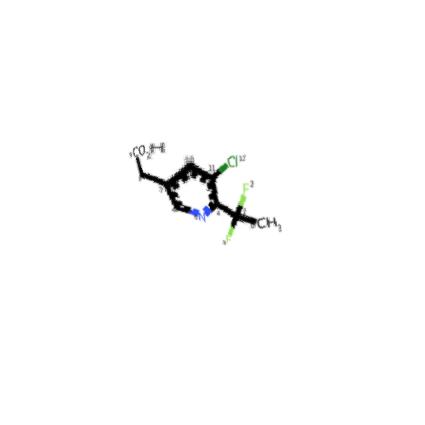 CC(F)(F)c1ncc(CC(=O)O)cc1Cl